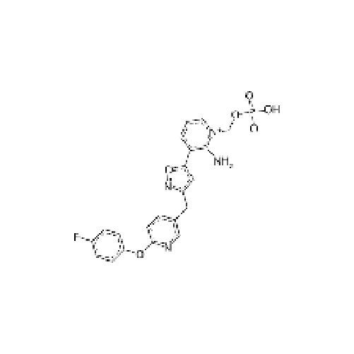 Nc1c(-c2cc(Cc3ccc(Oc4ccc(F)cc4)nc3)no2)ccc[n+]1COP(=O)([O-])O